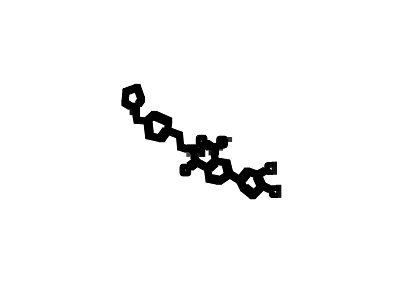 O=C(NCCc1ccc(CN2CCCC2)cc1)c1ccc(-c2ccc(Cl)c(Cl)c2)cc1[N+](=O)[O-]